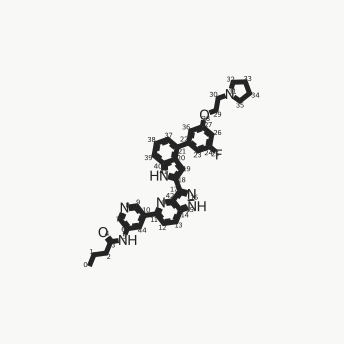 CCCC(=O)Nc1cncc(-c2ccc3[nH]nc(-c4cc5c(-c6cc(F)cc(OCCN7CCCC7)c6)cccc5[nH]4)c3n2)c1